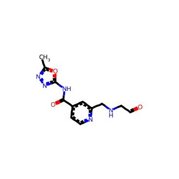 Cc1nnc(NC(=O)c2ccnc(CNCC=O)c2)o1